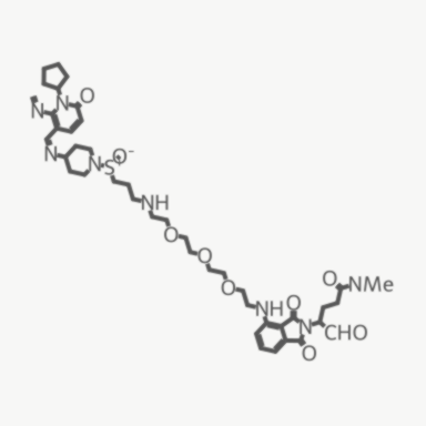 C=Nc1c(/C=N\C2CCN([S+]([O-])CCCNCCOCCOCCOCCNc3cccc4c3C(=O)N(C(C=O)CCC(=O)NC)C4=O)CC2)ccc(=O)n1C1CCCC1